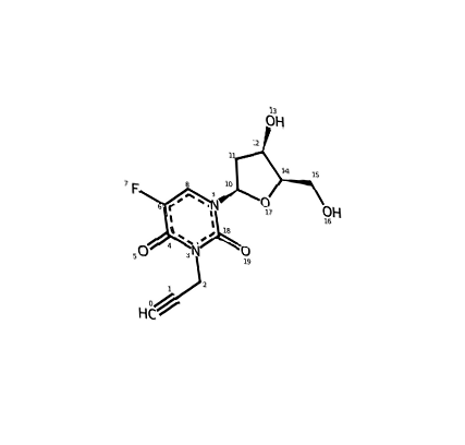 C#CCn1c(=O)c(F)cn([C@H]2C[C@@H](O)[C@@H](CO)O2)c1=O